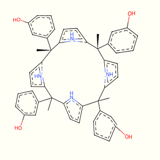 CC1(c2cccc(O)c2)c2ccc([nH]2)C(C)(c2cccc(O)c2)c2ccc([nH]2)[C@](C)(c2cccc(O)c2)c2ccc([nH]2)[C@](C)(c2cccc(O)c2)c2ccc1[nH]2